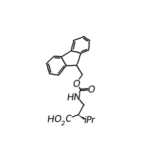 CC(C)[C@H](CNC(=O)OCC1c2ccccc2-c2ccccc21)C(=O)O